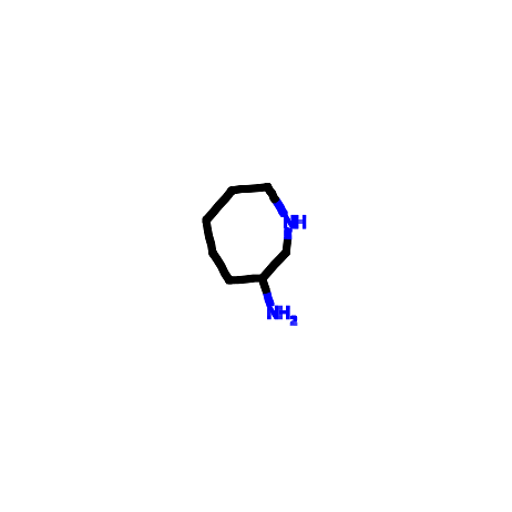 NC1CCCCCNC1